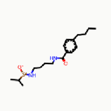 CCCCc1ccc(C(=O)NCCCCN[S+]([O-])C(C)C)cc1